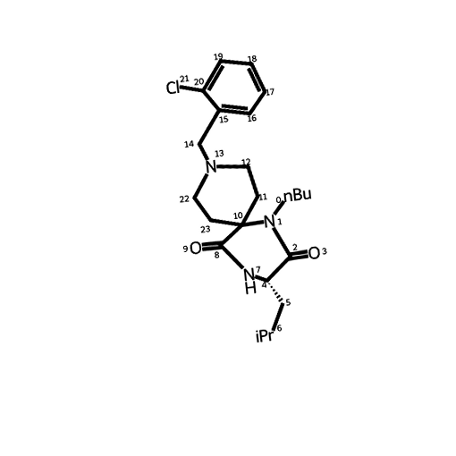 CCCCN1C(=O)[C@H](CC(C)C)NC(=O)C12CCN(Cc1ccccc1Cl)CC2